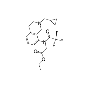 CCOC(=O)CN(C(=O)C(F)(F)F)c1cccc2c1CN(CC1CC1)CC2